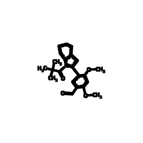 COc1cc(OC)c(-c2cc3ccccc3n2C(=O)C(C)(C)C)cc1C=O